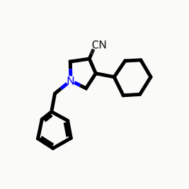 N#CC1CN(Cc2ccccc2)CC1C1CCCCC1